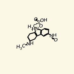 CNC1CCc2[nH]c3ccc(NC=O)cc3c2C1.CS(=O)(=O)O